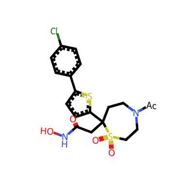 CC(=O)N1CCC(CC(=O)NO)(c2ccc(-c3ccc(Cl)cc3)s2)S(=O)(=O)CC1